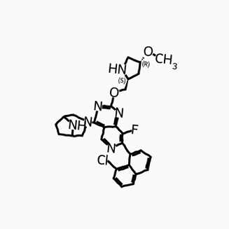 CO[C@H]1CN[C@H](COc2nc(N3CC4CCC(C3)N4)c3cnc(-c4cccc5cccc(Cl)c45)c(F)c3n2)C1